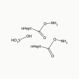 CCCCCCCC(=O)ON.CCCCCCCC(=O)ON.O=S(=O)(O)O